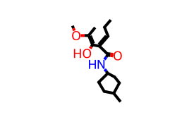 CC/C=C(C(=O)NC1CCC(C)CC1)\C(O)=C(/C)OC